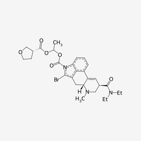 CCN(CC)C(=O)[C@@H]1C=C2c3cccc4c3c(c(Br)n4C(=O)OC(C)OC(=O)[C@@H]3CCOC3)C[C@H]2N(C)C1